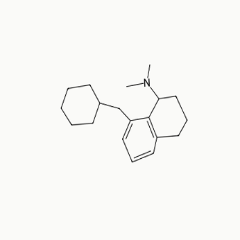 CN(C)C1CCCc2cccc(CC3CCCCC3)c21